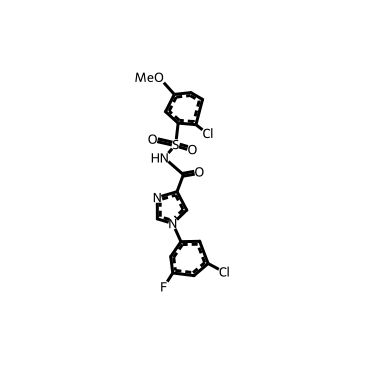 COc1ccc(Cl)c(S(=O)(=O)NC(=O)c2cn(-c3cc(F)cc(Cl)c3)cn2)c1